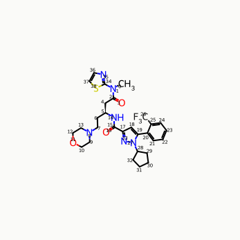 CN(C(=O)C[C@H](CCN1CCOCC1)NC(=O)c1cc(-c2ccccc2C(F)(F)F)n(C2CCCC2)n1)c1nccs1